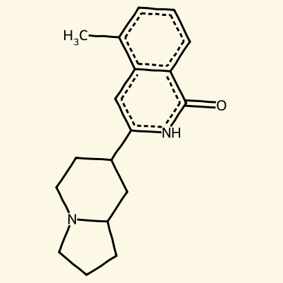 Cc1cccc2c(=O)[nH]c(C3CCN4CCCC4C3)cc12